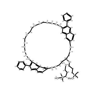 CO[Si](C)(C)CCCO[C@@H]1CCOc2ccc3cc(-c4ccccc4)c(cc3c2)OCCOCCOCCOCCOCCOc2cc3cc(ccc3cc2-c2ccccc2)OCC[C@H]1OCCC[Si](C)(C)O